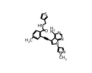 Cc1ccc(C(=O)NCc2ccsc2)c(C#Cc2cn(-c3cnn(C)c3)c3ncnc(N)c23)c1